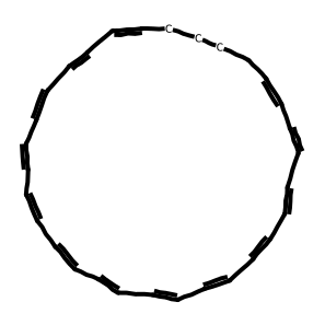 [C]1=C/C=C\C=C/C=C\C=C/C=C\C=C/C=C\C=C/C=C\C=C/C=C\C=C/CCCC\1